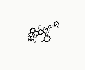 CC1CCCCN(c2nc(OC[C@@H]3CCCN3C)nc3c(F)c(-c4cccc5sc(N)nc45)c(Cl)cc23)C1